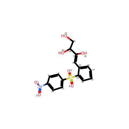 O=[N+]([O-])c1ccc(S(=O)(=O)c2ccccc2C=C(O)C(O)CO)cc1